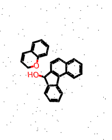 C1=Cc2ccccc2OC1.OC1c2ccccc2-c2c1ccc1ccccc21